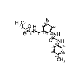 CCS(=O)(=O)CNCc1cc(F)cc(NC(=O)Nc2ccc(C)nc2)c1